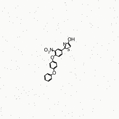 O=[N+]([O-])c1cc(-c2nc(O)cs2)ccc1Oc1ccc(Oc2ccccc2)cc1